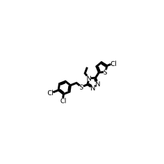 CCn1c(SCc2ccc(Cl)c(Cl)c2)nnc1-c1ccc(Cl)s1